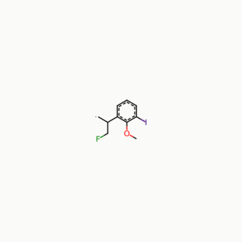 [CH2]C(CF)c1cccc(I)c1OC